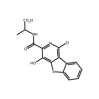 CC(NC(=O)c1nc(Cl)c2c(sc3ccccc32)c1O)C(=O)O